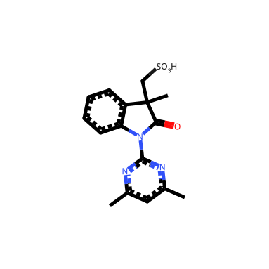 Cc1cc(C)nc(N2C(=O)C(C)(CS(=O)(=O)O)c3ccccc32)n1